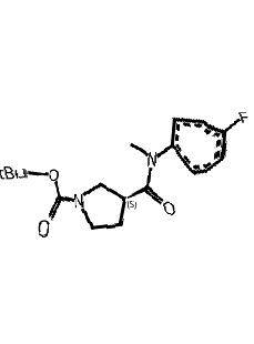 CN(C(=O)[C@H]1CCN(C(=O)OC(C)(C)C)C1)c1ccc(F)cc1